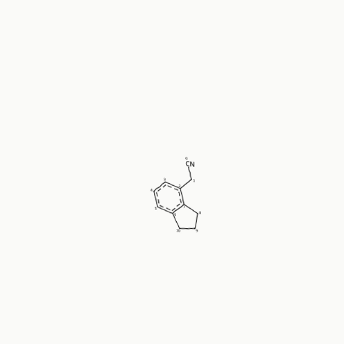 N#CCc1cccc2c1CCC2